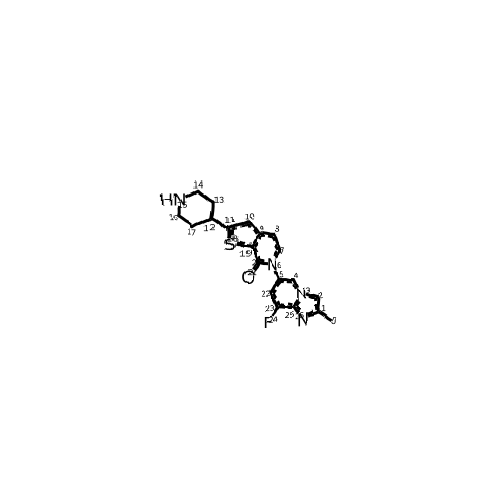 Cc1cn2cc(-n3ccc4cc(C5CCNCC5)sc4c3=O)cc(F)c2n1